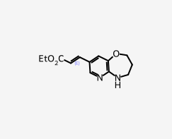 CCOC(=O)/C=C/c1cnc2c(c1)OCCCN2